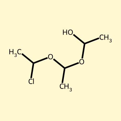 CC(O)OC(C)OC(C)Cl